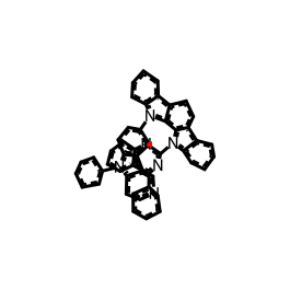 c1ccc(-c2nc(-n3c4ccccc4c4ccc5c6ccccc6n(-c6ccc7c(c6)c6cnccc6n7-c6ccccc6)c5c43)nc3ccccc23)cc1